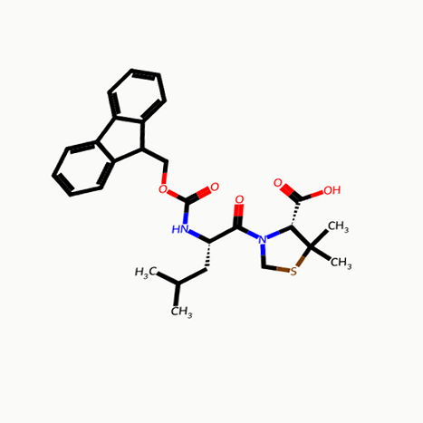 CC(C)C[C@H](NC(=O)OCC1c2ccccc2-c2ccccc21)C(=O)N1CSC(C)(C)[C@H]1C(=O)O